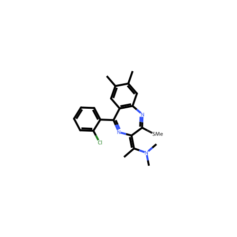 CSC1=Nc2cc(C)c(C)cc2C(c2ccccc2Cl)=NC1=C(C)N(C)C